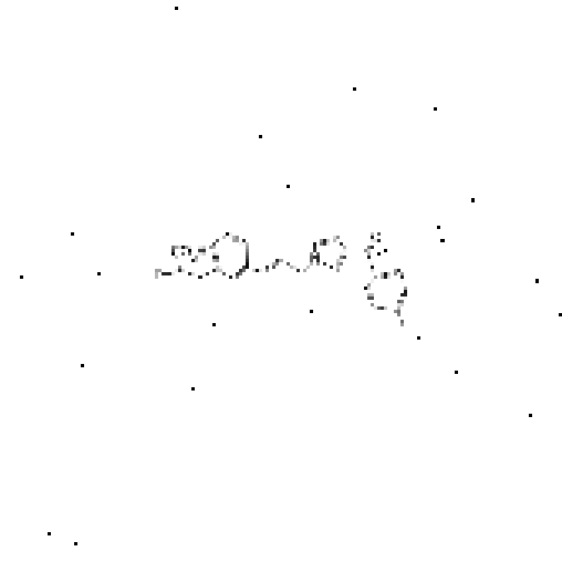 CCC(Cc1cccc(/C=C/Cn2ccc(C(=O)c3ccc(C)cc3)c2)c1)C(=O)O